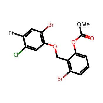 CCc1cc(Br)c(OCc2c(Br)cccc2OC(=O)OC)cc1Cl